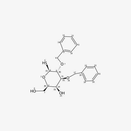 OC[C@H]1O[C@@H](S)[C@H](OCc2ccccc2)[C@@H](OCc2ccccc2)[C@H]1O